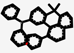 CC1(C)c2ccc(N(c3ccccc3)c3ccccc3)cc2-c2c(-c3ccccc3)ccc3cccc1c23